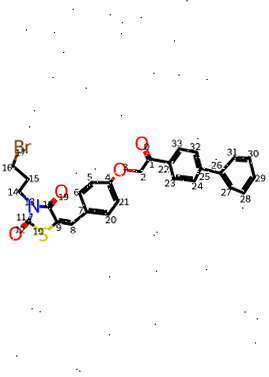 O=C(COc1ccc(C=C2SC(=O)N(CCCBr)C2=O)cc1)c1ccc(-c2ccccc2)cc1